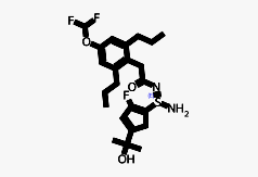 CCCc1cc(OC(F)F)cc(CCC)c1CC(=O)/N=S(/N)C1=C(F)C=C(C(C)(C)O)C1